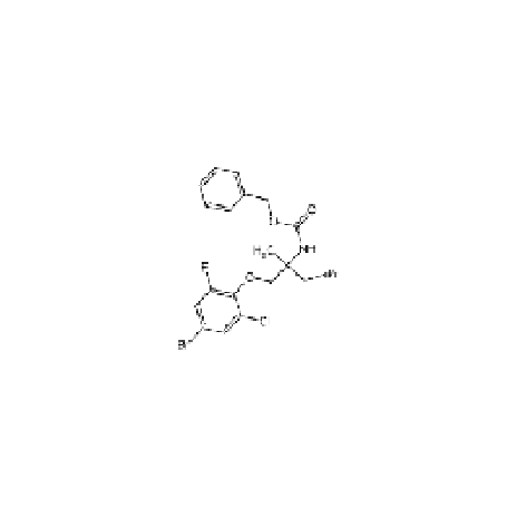 CC(C)CC(C)(COc1c(F)cc(Br)cc1Cl)NC(=O)OCc1ccccc1